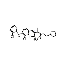 O=C(CCC1CCCC1)N/C(=C/c1ccc(Oc2ccccc2Cl)c(Cl)c1)C(=O)O